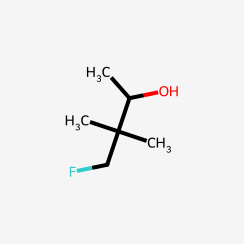 CC(O)C(C)(C)CF